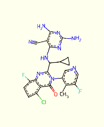 Cc1c(F)cncc1-n1c(C(Nc2nc(N)nc(N)c2C#N)C2CC2)nc2c(F)ccc(Cl)c2c1=O